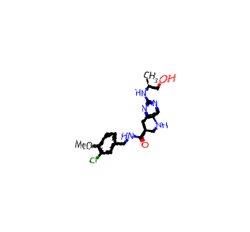 COc1ccc(CNC(=O)C2CNc3cnc(N[C@@H](C)CO)nc3C2)cc1Cl